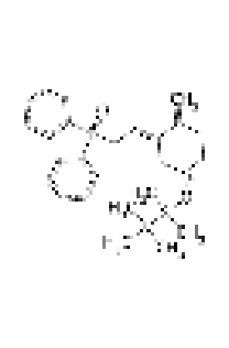 C=C1CC[C@H](O[Si](C)(C)C(C)(C)C)CC1=CCP(=O)(c1ccccc1)c1ccccc1